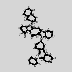 c1ccc(-n2c3ccc(-n4c5ccccc5c5cc6c(cc54)c4ccccc4n6-c4ccc5ccccc5c4)cc3c3ccncc32)cc1